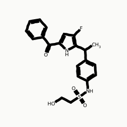 CC(c1ccc(NS(=O)(=O)CCO)cc1)c1[nH]c(C(=O)c2ccccc2)cc1F